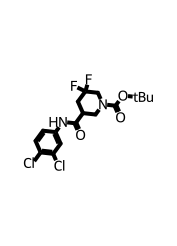 CC(C)(C)OC(=O)N1CC(C(=O)Nc2ccc(Cl)c(Cl)c2)CC(F)(F)C1